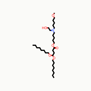 CCCCCCCCOC(CCC(=O)OCCCCCN(CCO)CCCCCOC)OCCCCCCCC